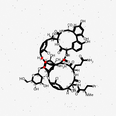 CN[C@H](CC(C)C)C(=O)N[C@H]1C(=O)N[C@@H](CCC(N)=O)C(=O)N[C@H]2C(=O)N[C@H]3C(=O)N[C@H](C(=O)N[C@H](C(=O)O)c4cc(O)cc(O)c4-c4cc3ccc4O)[C@H](O)c3ccc(c(Cl)c3)Oc3cc2cc(c3O[C@@H]2O[C@H](CO)[C@@H](O)[C@H](O)[C@H]2O[C@H]2C[C@](C)(N)[C@H](O)[C@H](C)O2)Oc2ccc(cc2Cl)[C@H]1O